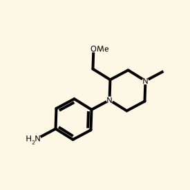 COCC1CN(C)CCN1c1ccc(N)cc1